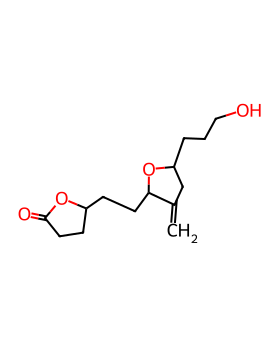 C=C1CC(CCCO)OC1CCC1CCC(=O)O1